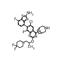 CC(CN1CCC(F)(F)CC1)Oc1nc(N2C3CCC2CNC3)c2cc(Cl)c(-c3ccc(F)c4sc(N)nc34)c(F)c2n1